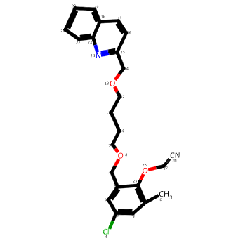 Cc1cc(Cl)cc(COCCCCOCc2ccc3ccccc3n2)c1OCC#N